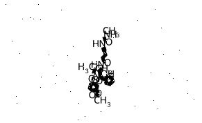 CNCC(=O)NC#CCCC(=O)NCCC(O)(Cc1ccccc1)N(CC(C)C)S(=O)(=O)c1ccc2c(c1)OC(C)O2